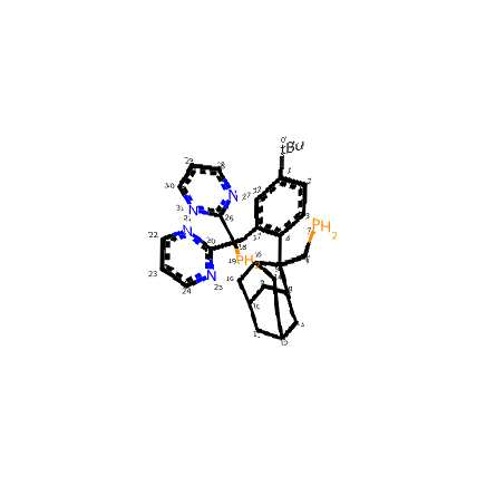 CC(C)(C)c1ccc(C2(CP)C3CC4CC(C3)CC2C4)c(C(P)(c2ncccn2)c2ncccn2)c1